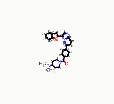 CN(C)C1CCN(C(=O)c2ccc(-c3ccc4ncc(-c5cc6ccccc6o5)n4n3)cc2)CC1